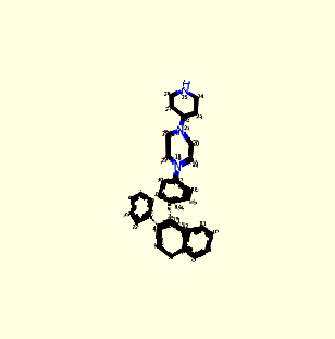 c1ccc([C@H]2CCc3ccccc3[C@H]2c2ccc(N3CCN(C4CCNCC4)CC3)cc2)cc1